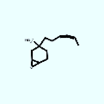 CC=C=CCCC1(C(=O)O)CCC2OC2C1